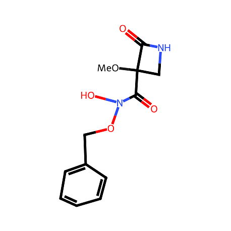 COC1(C(=O)N(O)OCc2ccccc2)CNC1=O